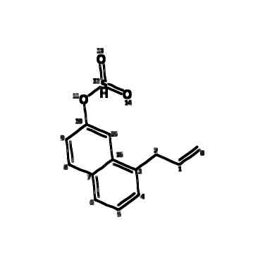 C=CCc1cccc2ccc(O[SH](=O)=O)cc12